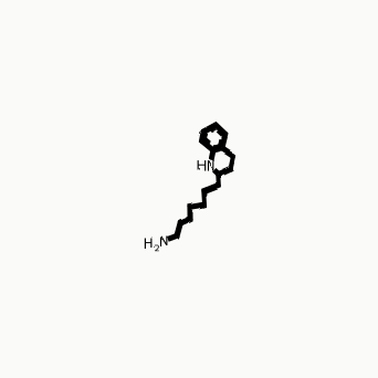 NCCCCCCCC1CCc2ccccc2N1